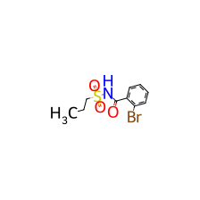 CCCS(=O)(=O)NC(=O)c1ccccc1Br